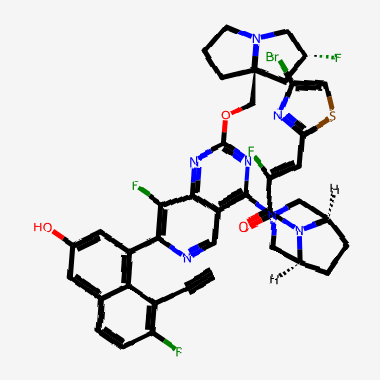 C#Cc1c(F)ccc2cc(O)cc(-c3ncc4c(N5C[C@H]6CC[C@@H](C5)N6C(=O)/C(F)=C/c5nc(Br)cs5)nc(OC[C@@]56CCCN5C[C@H](F)C6)nc4c3F)c12